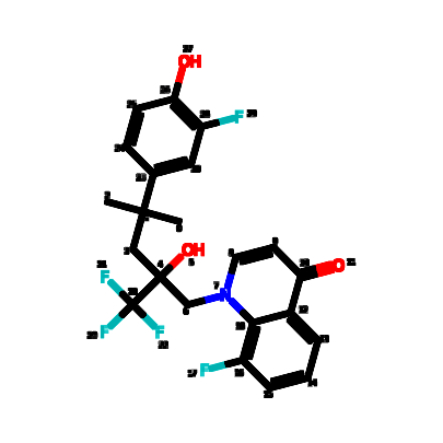 CC(C)(CC(O)(Cn1ccc(=O)c2cccc(F)c21)C(F)(F)F)c1ccc(O)c(F)c1